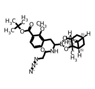 COc1c(CC(NC(=O)CN=[N+]=[N-])B2O[C@@H]3C[C@@H]4C[C@@H](C4(C)C)[C@]3(C)O2)cccc1C(=O)OC(C)(C)C